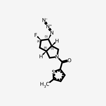 Cc1ccc(C(=O)N2C[C@@H]3C[C@@H](F)[C@@H](N=[N+]=[N-])[C@@H]3C2)s1